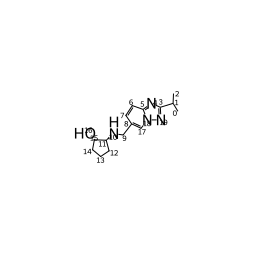 CC(C)c1nc2ccc(CN[C@H]3CCC[C@@H]3O)cn2n1